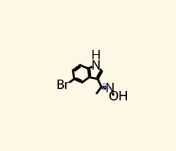 C/C(=N\O)c1c[nH]c2ccc(Br)cc12